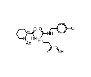 CC(=O)N1CCCC[C@H]1C(=O)N[C@@H](CCC(=O)C=N)C(=O)NCc1ccc(Cl)cc1